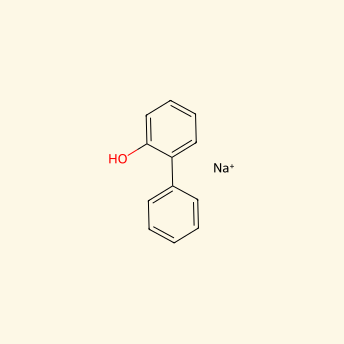 Oc1ccccc1-c1ccccc1.[Na+]